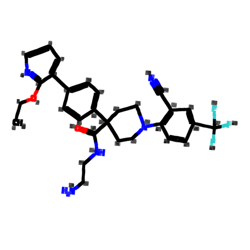 CCOc1ncccc1-c1ccc(C2(C(=O)NCCN)CCN(c3ccc(C(F)(F)F)cc3C#N)CC2)cc1